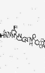 Cc1ccc(C(=O)NCc2cc3nc(-c4cc(F)cc(N5CCNC6(CC6)C5)n4)ccc3cn2)cc1C1CCCO1